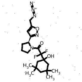 CC1(C)CC(C)(C)CC(O)(C(F)(F)C(=O)N2CCC[C@H]2c2cc(CN=[N+]=[N-])on2)C1